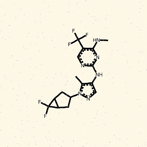 CNc1nc(Nc2cnn(C3CC4C(C3)C4(F)F)c2C)ncc1C(F)(F)F